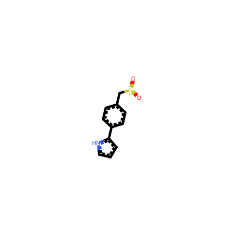 O=[SH](=O)Cc1ccc(-c2ccc[nH]2)cc1